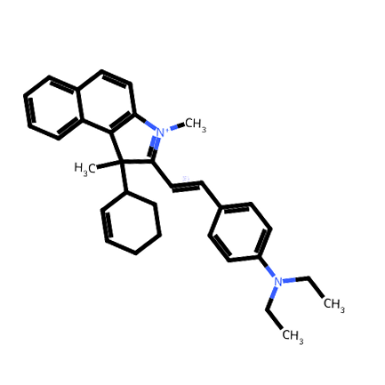 CCN(CC)c1ccc(/C=C/C2=[N+](C)c3ccc4ccccc4c3C2(C)C2C=CCCC2)cc1